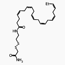 CC/C=C\C/C=C\C/C=C\C/C=C\C/C=C\C/C=C\CCC(=O)NCCSSCC(N)=O